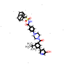 CC(C)(C)c1cc(C(=O)N2CCN(c3ccc(C(=O)NS(=O)(=O)CC45CC6CC(CC(C6)C4)C5)cc3)CC2)cc(-c2cncc(O)c2)c1